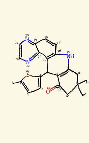 Cc1ccc(C2C3=C(CC(C)(C)CC3=O)Nc3ccc4nccnc4c32)s1